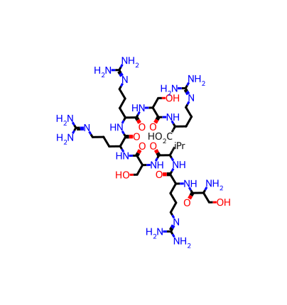 CC(C)C(NC(=O)C(CCCN=C(N)N)NC(=O)C(N)CO)C(=O)NC(CO)C(=O)NC(CCCN=C(N)N)C(=O)NC(CCCN=C(N)N)C(=O)NC(CO)C(=O)NC(CCCN=C(N)N)C(=O)O